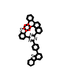 C1=Cc2sc3c(-c4ccc(-c5nc(-c6ccccc6)nc(-c6cccc7c6C6C=C(c8ccccc8-c8ccccc8-c8ccccc8)C=CC6S7)n5)cc4)cccc3c2CC1